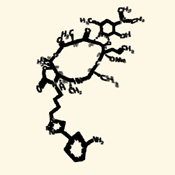 C=CC[C@@]1(OC)C[C@@H](C)CN[C@H](C)[C@H]2N(CCCCn3cc(-c4cccc(N)c4)nn3)C(=O)O[C@]2(C)[C@@H](CC)OC(=O)[C@H](C)C(=O)[C@H](C)[C@H]1O[C@@H]1OC(C)CC(N(C)C)C1O